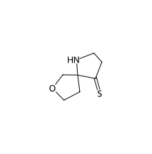 S=C1CCNC12CCOC2